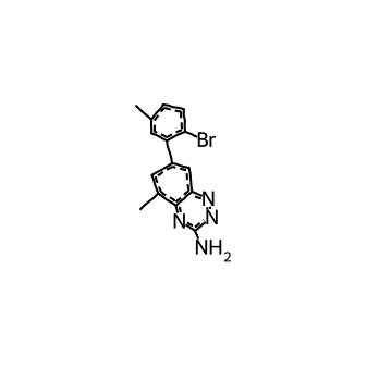 Cc1ccc(Br)c(-c2cc(C)c3nc(N)nnc3c2)c1